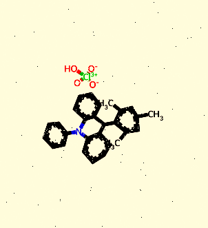 Cc1cc(C)c(C2c3ccccc3N(c3ccccc3)c3ccccc32)c(C)c1.[O-][Cl+3]([O-])([O-])O